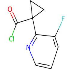 O=C(Cl)C1(c2ncccc2F)CC1